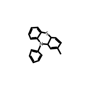 CC1=CC2C(C=C1)Sc1ccccc1N2c1ccccc1